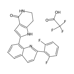 O=C(O)C(F)(F)F.O=C1NCCc2[nH]c(-c3cccc4ccc(-c5c(F)cccc5F)nc34)cc21